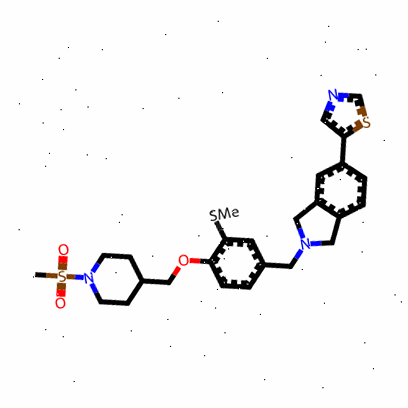 CSc1cc(CN2Cc3ccc(-c4cncs4)cc3C2)ccc1OCC1CCN(S(C)(=O)=O)CC1